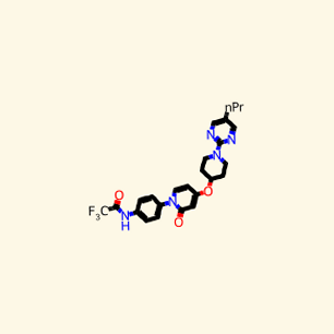 CCCc1cnc(N2CCC(Oc3ccn(-c4ccc(NC(=O)C(F)(F)F)cc4)c(=O)c3)CC2)nc1